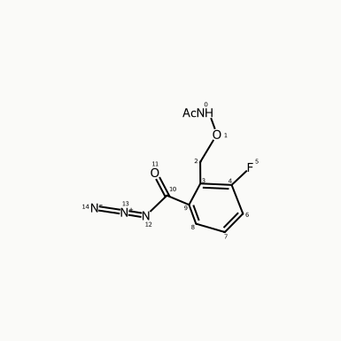 CC(=O)NOCc1c(F)cccc1C(=O)N=[N+]=[N-]